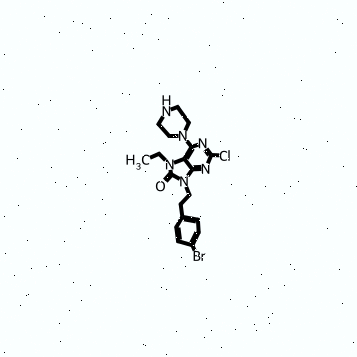 CCn1c(=O)n(CCc2ccc(Br)cc2)c2nc(Cl)nc(N3CCNCC3)c21